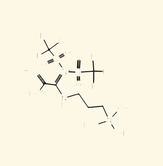 C=C(C)C(NCCC[N+](C)(C)C)=[N+](S(=O)(=O)C(F)(F)F)S(=O)(=O)C(F)(F)F